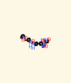 Cn1c(=O)n(C2CCC(=O)NC2=O)c2ccc(-c3ccc(NC(=O)Nc4cccc(CS(=O)(=O)N5CCCCC5(C)C)c4)cc3)cc21